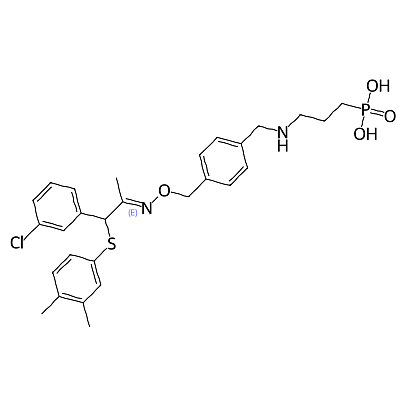 C/C(=N\OCc1ccc(CNCCCP(=O)(O)O)cc1)C(Sc1ccc(C)c(C)c1)c1cccc(Cl)c1